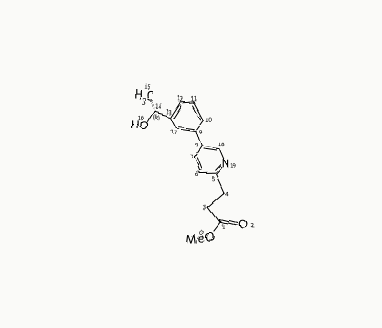 COC(=O)CCc1ccc(-c2cccc([C@@H](C)O)c2)cn1